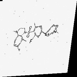 Cc1cc(-c2cnn(C)c2)cc(F)c1S(=O)(=O)N1CCN(C)c2ccc(F)c(C)c21